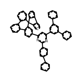 c1ccc(-c2ccc(-c3nc(-c4cc(-c5ccccc5)cc(-c5ccccc5)c4)cc(-c4ccc5c(c4)C4(c6ccccc6-c6ccccc6-5)c5ccccc5-c5ccccc54)n3)cc2)cc1